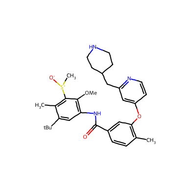 COc1c(NC(=O)c2ccc(C)c(Oc3ccnc(CC4CCNCC4)c3)c2)cc(C(C)(C)C)c(C)c1[S+](C)[O-]